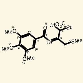 CCC(C(=O)O)C(CSC)=NC(=O)c1cc(OC)c(OC)c(OC)c1